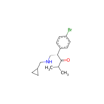 CC(C)C(=O)[C@H](CNCC1CC1)c1ccc(Br)cc1